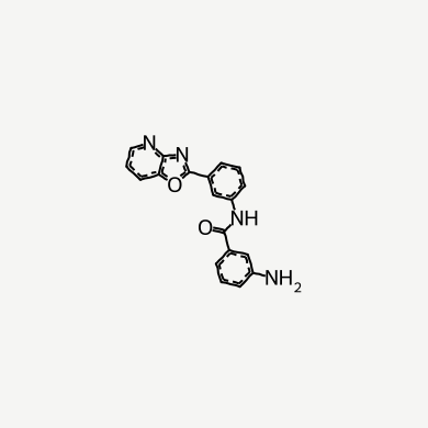 Nc1cccc(C(=O)Nc2cccc(-c3nc4ncccc4o3)c2)c1